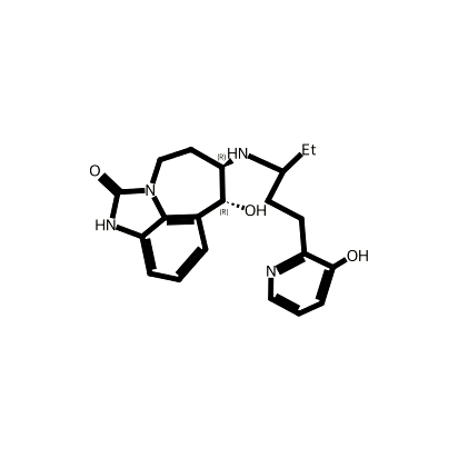 CCC(CCc1ncccc1O)N[C@@H]1CCn2c(=O)[nH]c3cccc(c32)[C@H]1O